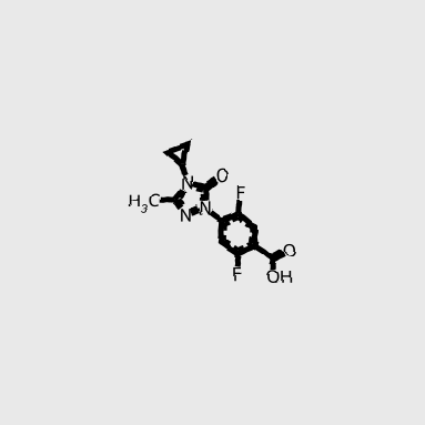 Cc1nn(-c2cc(F)c(C(=O)O)cc2F)c(=O)n1C1CC1